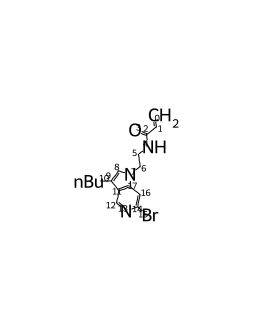 C=CC(=O)NCCn1cc(CCCC)c2cnc(Br)cc21